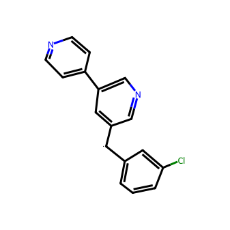 Clc1cccc([CH]c2cncc(-c3ccncc3)c2)c1